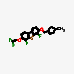 CC1CC=C(COc2ccc3c(sc4c(F)c(OC=C(F)F)ccc43)c2F)CC1